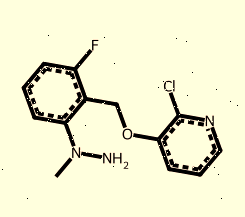 CN(N)c1cccc(F)c1COc1cccnc1Cl